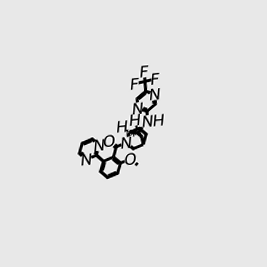 COc1cccc(-c2ncccn2)c1C(=O)N1CC2CC[C@H]1[C@H](Nc1cnc(C(F)(F)F)cn1)C2